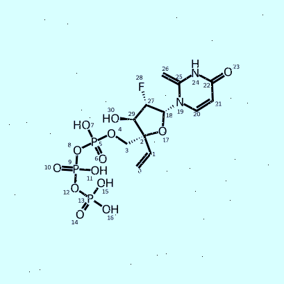 C=C[C@]1(COP(=O)(O)OP(=O)(O)OP(=O)(O)O)O[C@@H](N2C=CC(=O)NC2=C)[C@@H](F)[C@@H]1O